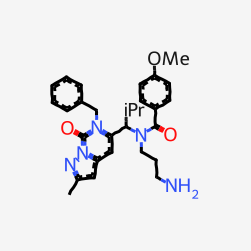 COc1ccc(C(=O)N(CCCN)C(c2cc3cc(C)nn3c(=O)n2Cc2ccccc2)C(C)C)cc1